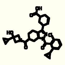 O=C(O)C1CC=CC(c2nn(C(=O)c3c(Cl)cccc3C3CC3)c3c2CCC(C(=O)N2CC(O)(C4CC4)C2)C3)C1